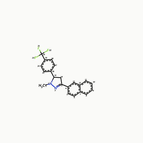 CN1N=C(c2ccc3ccccc3c2)CC1c1ccc(C(F)(F)F)cc1